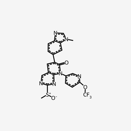 Cn1cnc2ccc(-c3cc4cnc([S+](C)[O-])nc4n(-c4ccc(OC(F)(F)F)nc4)c3=O)cc21